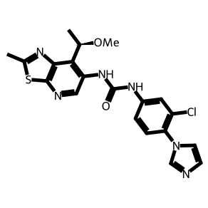 CO[C@H](C)c1c(NC(=O)Nc2ccc(-n3ccnc3)c(Cl)c2)cnc2sc(C)nc12